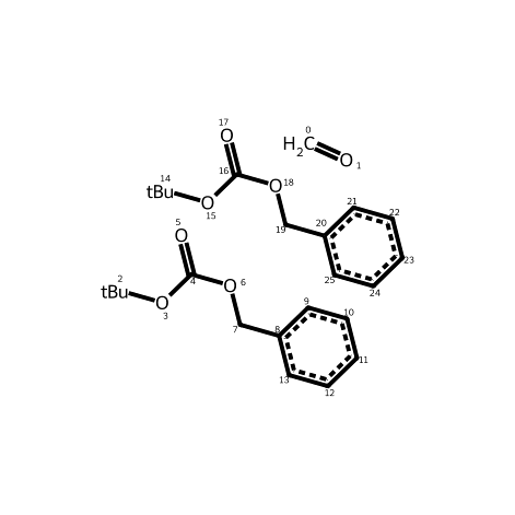 C=O.CC(C)(C)OC(=O)OCc1ccccc1.CC(C)(C)OC(=O)OCc1ccccc1